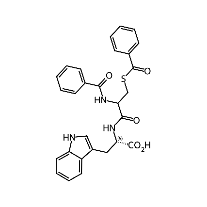 O=C(NC(CSC(=O)c1ccccc1)C(=O)N[C@@H](Cc1c[nH]c2ccccc12)C(=O)O)c1ccccc1